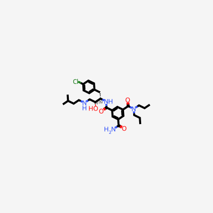 CCCN(CCC)C(=O)c1cc(C(N)=O)cc(C(=O)N[C@@H](Cc2ccc(Cl)cc2)[C@H](O)CNCCC(C)C)c1